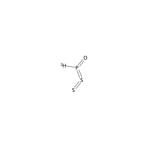 [2H]P(=O)=S=S